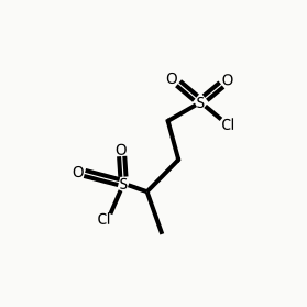 CC(CCS(=O)(=O)Cl)S(=O)(=O)Cl